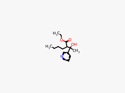 CCCCC(C(=O)OCC)C(C)(O)c1cccnc1